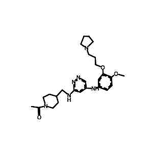 COc1ccc(Nc2cnnc(NCC3CCN(C(C)=O)CC3)c2)cc1OCCCN1CCCC1